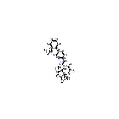 CC1[C@@H](C)C[C@@]2(O)C(=O)O[C@H](C)[C@H]2[C@H]1/C=C/c1ccc(-c2ccccc2N)cn1